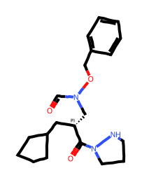 O=CN(C[C@@H](CC1CCCC1)C(=O)N1CCCN1)OCc1ccccc1